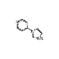 C1=CN(c2ccncc2)CN1